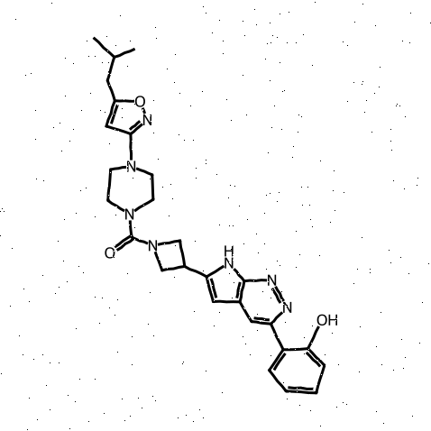 CC(C)Cc1cc(N2CCN(C(=O)N3CC(c4cc5cc(-c6ccccc6O)nnc5[nH]4)C3)CC2)no1